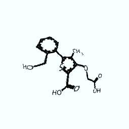 Cc1c(-c2ccccc2CO)sc(C(=O)O)c1OCC(=O)O